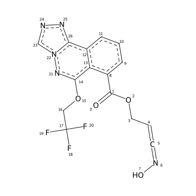 O=C(OCC=C=NO)c1cccc2c1c(OCC(F)(F)F)nn1cnnc21